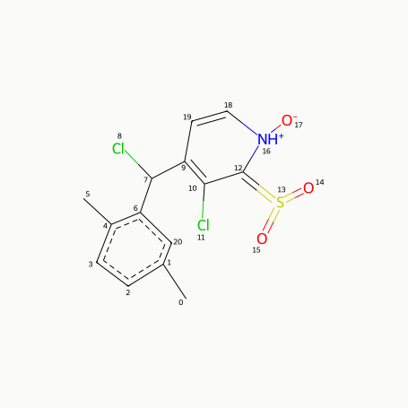 Cc1ccc(C)c(C(Cl)C2=C(Cl)C(=S(=O)=O)[NH+]([O-])C=C2)c1